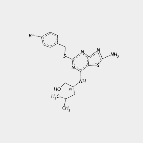 CC(C)C[C@H](CO)Nc1nc(SCc2ccc(Br)cc2)nc2nc(N)sc12